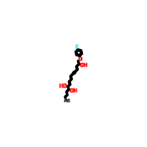 CC(=O)CCC[C@H](O)[C@H](O)/C=C/C=C/C#C/C=C/[C@H](O)COc1ccc(F)cc1